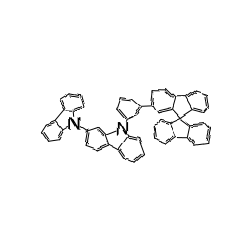 c1cc(-c2ccc3c(c2)C2(c4ccccc4-c4ccccc42)c2ccccc2-3)cc(-n2c3ccccc3c3ccc(-n4c5ccccc5c5ccccc54)cc32)c1